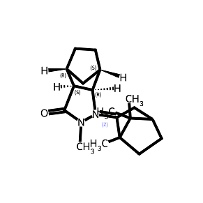 CN1C(=O)[C@H]2[C@@H]3CC[C@@H](C3)[C@H]2/[N+]1=C1\CC2CCC1(C)C2(C)C